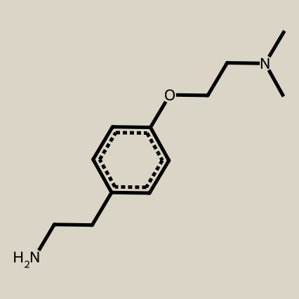 CN(C)CCOc1ccc(CCN)cc1